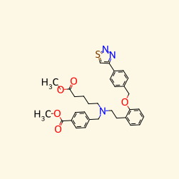 COC(=O)CCCCN(CCc1ccccc1OCc1ccc(-c2csnn2)cc1)Cc1ccc(C(=O)OC)cc1